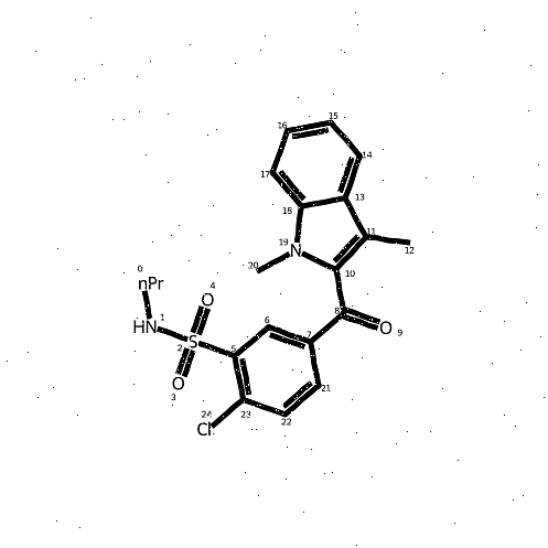 CCCNS(=O)(=O)c1cc(C(=O)c2c(C)c3ccccc3n2C)ccc1Cl